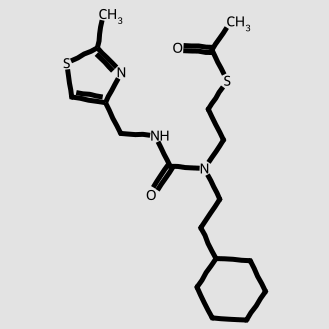 CC(=O)SCCN(CCC1CCCCC1)C(=O)NCc1csc(C)n1